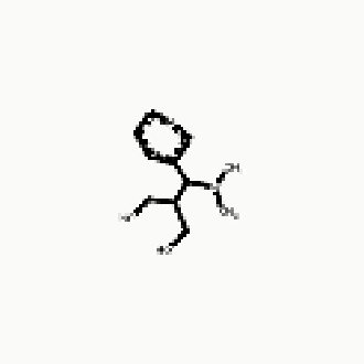 CN(C)C(c1cccnc1)C(CO)CO